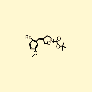 COc1ccc(Br)c(C=C2CCN(C(=O)OC(C)(C)C)CC2)c1